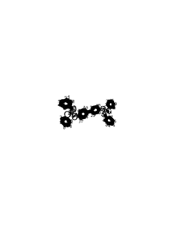 c1ccc(OP(Oc2ccccc2)Oc2ccc(-c3ccc(OP(Oc4ccccc4)Oc4ccccc4)cc3)cc2)cc1